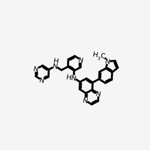 Cn1ccc2ccc(-c3cc(Nc4cnccc4CNc4cncnc4)cc4nccnc34)cc21